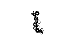 Cc1cc(N2CCN(C(=O)C3CCCN(S(=O)(=O)c4cccc([N+](=O)[O-])c4)C3)CC2)c2ccccc2n1